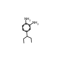 CCC(CC)c1ccc(N)c(N)c1